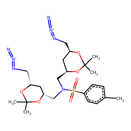 Cc1ccc(S(=O)(=O)N(C[C@H]2C[C@@H](CN=[N+]=[N-])OC(C)(C)O2)C[C@H]2C[C@@H](CN=[N+]=[N-])OC(C)(C)O2)cc1